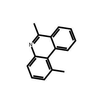 Cc1nc2cccc(C)c2c2ccccc12